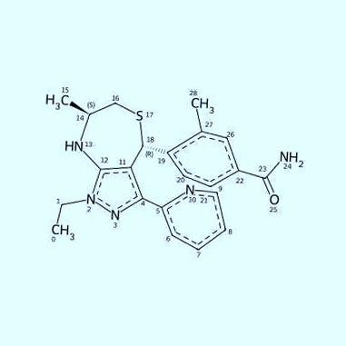 CCn1nc(-c2ccccn2)c2c1N[C@@H](C)CS[C@@H]2c1ccc(C(N)=O)cc1C